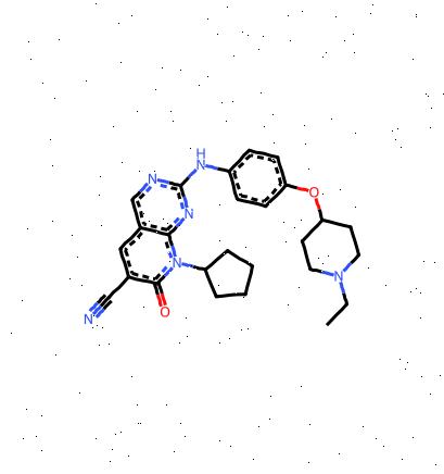 CCN1CCC(Oc2ccc(Nc3ncc4cc(C#N)c(=O)n(C5CCCC5)c4n3)cc2)CC1